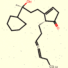 C[C@](O)(CCC1=CCC(=O)[C@@H]1CCC=C=CCC(=O)O)C1CCCCC1